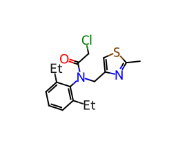 CCc1cccc(CC)c1N(Cc1csc(C)n1)C(=O)CCl